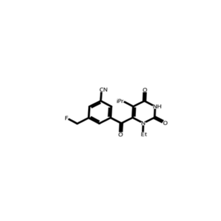 CCn1c(C(=O)c2cc(C#N)cc(CF)c2)c(C(C)C)c(=O)[nH]c1=O